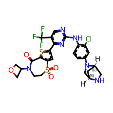 O=C1c2sc(-c3nc(Nc4ccc(N5C[C@H]6C[C@@H]5CN6)cc4Cl)ncc3C(F)(F)F)cc2S(=O)(=O)CCN1C1COC1